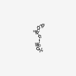 O=S(=O)(NCC#Cc1cc(-c2n[nH]c3c2Cc2cc(Cn4cncn4)ccc2-3)cs1)c1cccc(C(F)(F)F)c1